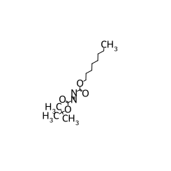 CCCCCCCCOC(=O)N=NC(=O)OC(C)(C)C